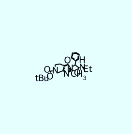 CCNC(=O)C(c1ccccc1)n1c(C)nc2c(c1=O)CCN(C(=O)OC(C)(C)C)C2